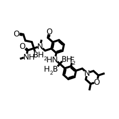 BC(B)(Nc1cccc(C=O)c1CN(C)C(B)(CCC=O)C(=O)NC)c1cccc(CN2CC(C)OC(C)C2)c1F